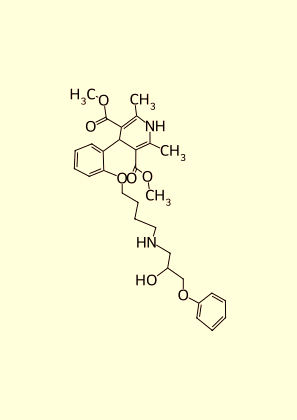 COC(=O)C1=C(C)NC(C)=C(C(=O)OC)C1c1ccccc1OCCCCNCC(O)COc1ccccc1